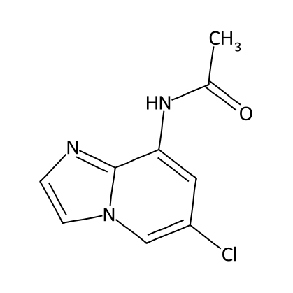 CC(=O)Nc1cc(Cl)cn2ccnc12